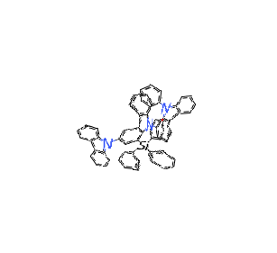 c1ccc(-n2c3ccccc3c3cccc(-n4c5ccccc5c5cc(-n6c7ccccc7c7ccccc76)cc([Si](c6ccccc6)(c6ccccc6)c6ccccc6)c54)c32)cc1